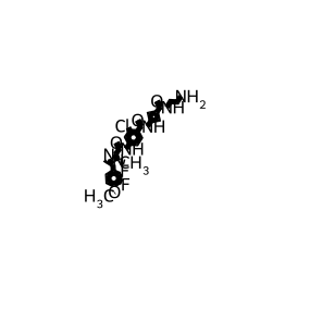 COc1ccc(-c2cnc(C(=O)Nc3ccc(C(=O)NC4CC(C(=O)NCCN)C4)c(Cl)c3)n2C)c(F)c1F